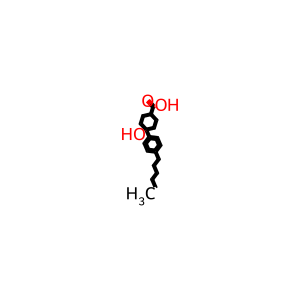 CCCCCCc1ccc(C2(O)CCC(C(=O)O)CC2)cc1